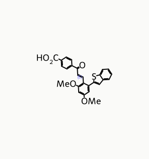 COc1cc(OC)c(/C=C/C(=O)c2ccc(C(=O)O)cc2)c(-c2cc3ccccc3s2)c1